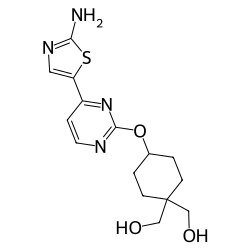 Nc1ncc(-c2ccnc(OC3CCC(CO)(CO)CC3)n2)s1